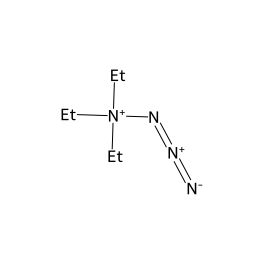 CC[N+](CC)(CC)N=[N+]=[N-]